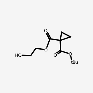 CC(C)(C)OC(=O)C1(C(=O)OCCO)CC1